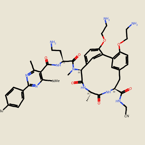 CNc1nc(-c2ccc(C(C)(C)C)cc2)nc(C)c1C(=O)N[C@@H](CCN)C(=O)N(C)[C@@H]1C(=O)N[C@@H](C)C(=O)N[C@H](C(=O)NCC#N)Cc2ccc(OCCN)c(c2)-c2cc1ccc2OCCN